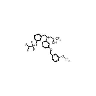 O[C@H](CN(Cc1cccc(OC(F)(F)C(F)F)c1)c1cccc(OCc2cccc(OC(F)(F)F)c2)c1)C(F)(F)F